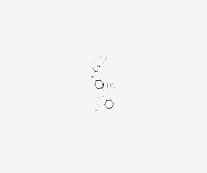 CCC(=O)N1c2ccccc2[C@H](Nc2ccc(C(=O)c3cn4c(n3)CNCC4)cc2)C[C@@H]1C.Cl.Cl